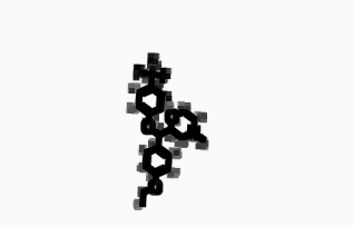 CCOc1ccc(C(Oc2ccc(C(F)(F)F)cc2)C2CN(C)CCO2)cc1